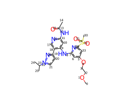 COCCOc1cc(Nc2cc(NC(C)=O)ncc2-c2ccn(C(C)C)n2)nc(S(C)(=O)=O)c1